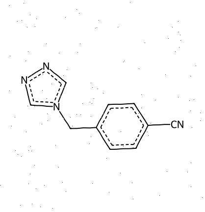 N#Cc1ccc(Cn2cnnc2)cc1